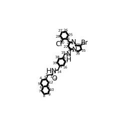 O=C(Cc1ccc2ccccc2c1)NCc1ccc(CNc2cc(-c3ccccc3Cl)nc3c(Br)ccn23)cc1